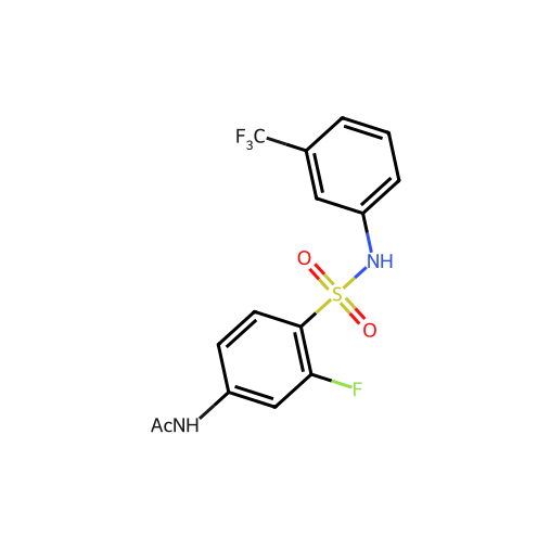 CC(=O)Nc1ccc(S(=O)(=O)Nc2cccc(C(F)(F)F)c2)c(F)c1